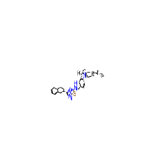 CN(C)c1ccc(CNc2nn3c(-c4ccc5ccccc5c4)cnc3s2)cc1